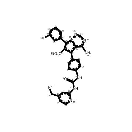 CCOC(=O)c1c(-c2ccc(NC(=O)Nc3cc(CF)ccn3)cc2)c2c(N)ncnn2c1-c1cccc(F)c1